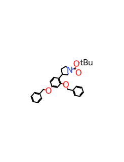 CC(C)(C)OC(=O)N1CCC(c2ccc(OCc3ccccc3)cc2OCc2ccccc2)C1